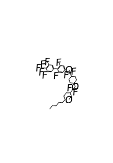 CCCCCC1CCC(C(F)(F)OC2CCC(C(F)(F)Oc3cc(F)c(-c4cc(F)c(C(F)(F)F)c(F)c4)c(F)c3)CC2)CO1